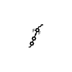 C=CCCc1cc(F)c(C#Cc2ccc(-c3ccc(CC)cc3)cc2)c(F)c1